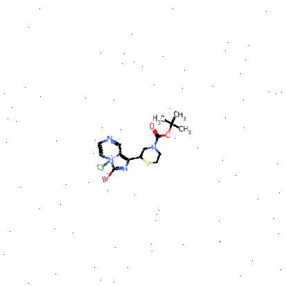 CC(C)(C)OC(=O)N1CCSC(C2=C3C=NC=C[N+]3(Cl)C(Br)=N2)C1